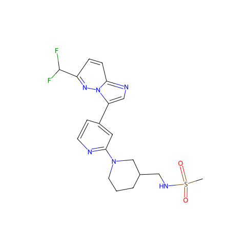 CS(=O)(=O)NCC1CCCN(c2cc(-c3cnc4ccc(C(F)F)nn34)ccn2)C1